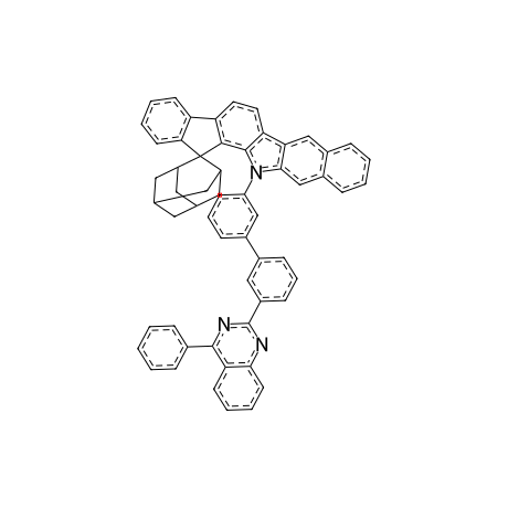 c1ccc(-c2nc(-c3cccc(-c4cccc(-n5c6cc7ccccc7cc6c6ccc7c(c65)C5(c6ccccc6-7)C6CC7CC(C6)CC5C7)c4)c3)nc3ccccc23)cc1